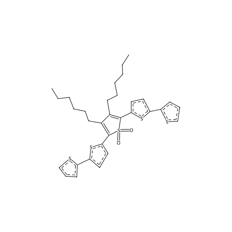 CCCCCCC1=C(c2ccc(-c3cccs3)s2)S(=O)(=O)C(c2ccc(-c3cccs3)s2)=C1CCCCCC